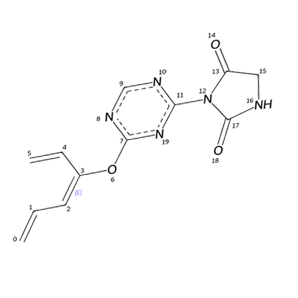 C=C/C=C(\C=C)Oc1ncnc(N2C(=O)CNC2=O)n1